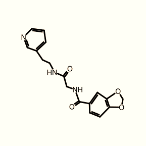 O=C(CNC(=O)c1ccc2c(c1)OCO2)NCCc1cccnc1